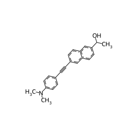 CC(O)c1ccc2cc(C#Cc3ccc(N(C)C)cc3)ccc2c1